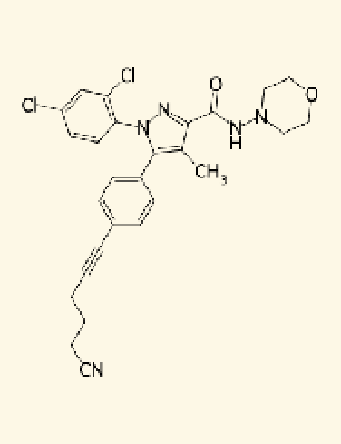 Cc1c(C(=O)NN2CCOCC2)nn(-c2ccc(Cl)cc2Cl)c1-c1ccc(C#CCCCC#N)cc1